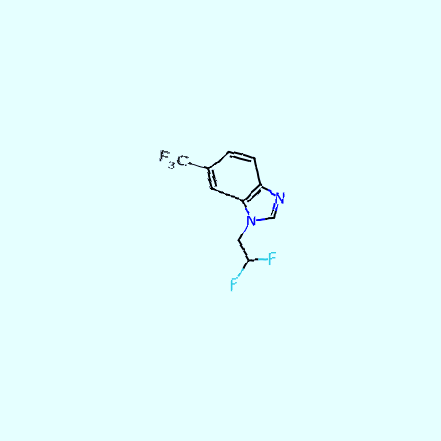 FC(F)Cn1cnc2ccc(C(F)(F)F)cc21